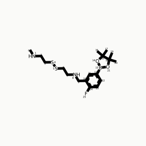 CNCCSSCCNCc1cc(B2OC(C)(C)C(C)(C)O2)ccc1F